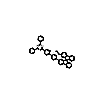 C=CCc1ccc2c(c1)C1(c3ccccc3-2)c2ccccc2-c2ccc(-c3ccc(-c4ccc(-c5nc(-c6ccccc6)nc(-c6ccccc6)n5)cc4)cc3)cc21